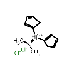 C[Si](C)=[Hf+2]([C]1=CC=CC1)[C]1=CC=CC1.[Cl-].[Cl-]